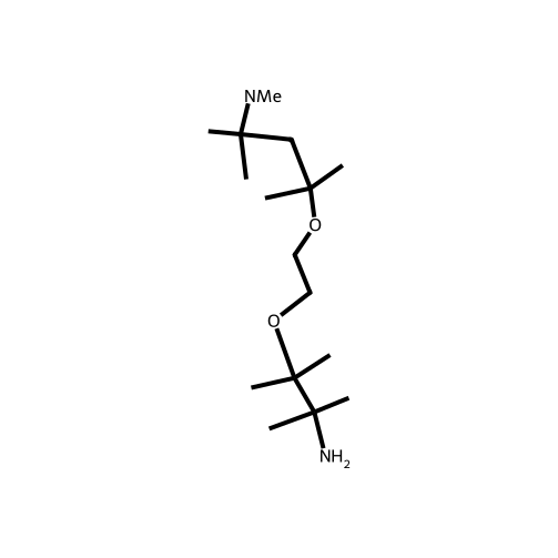 CNC(C)(C)CC(C)(C)OCCOC(C)(C)C(C)(C)N